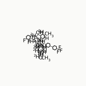 [2H]C1=C(SC([2H])([2H])c2cccc(F)c2F)N(C([2H])([2H])C(=O)N(Cc2ccc(-c3ccc(C(F)(F)F)cc3)cc2)C2([2H])C([2H])([2H])C([2H])([2H])N(CC([2H])([2H])OC)C([2H])([2H])C2([2H])[2H])c2c([2H])c([2H])c(C)c([2H])c2C1O